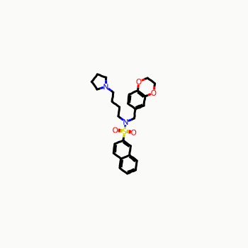 O=S(=O)(c1ccc2ccccc2c1)N(CCCCN1CCCC1)Cc1ccc2c(c1)OCCO2